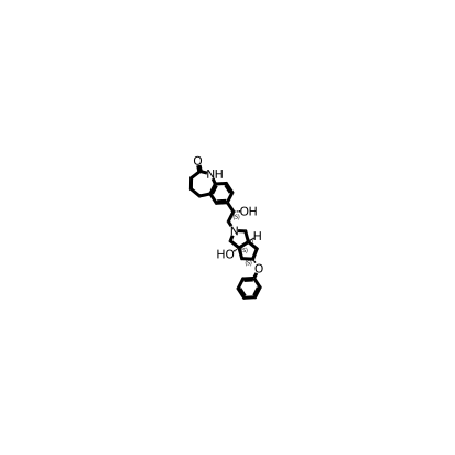 O=C1CCCc2cc([C@H](O)CN3C[C@H]4C[C@H](Oc5ccccc5)C[C@@]4(O)C3)ccc2N1